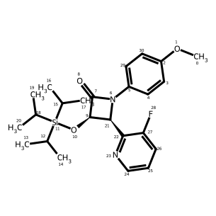 COc1ccc(N2C(=O)[C@H](O[Si](C(C)C)(C(C)C)C(C)C)[C@@H]2c2ncccc2F)cc1